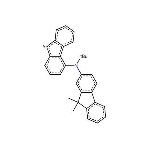 CC1(C)c2ccccc2-c2ccc(N(c3cccc4[se]c5ccccc5c34)C(C)(C)C)cc21